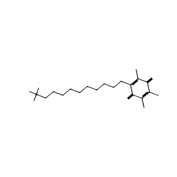 CC1=C(C)C(=O)C(CCCCCCCCCCC(F)(F)F)=C(C)C1=O